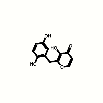 N#Cc1ccc(O)cc1Cc1occc(=O)c1O